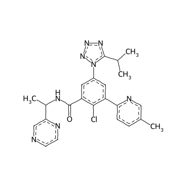 Cc1ccc(-c2cc(-n3nnnc3C(C)C)cc(C(=O)NC(C)c3cnccn3)c2Cl)nc1